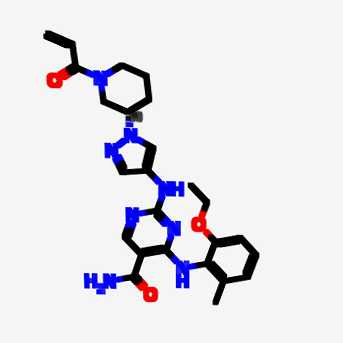 C=CC(=O)N1CCC[C@H](n2cc(Nc3ncc(C(N)=O)c(Nc4c(C)cccc4OCC)n3)cn2)C1